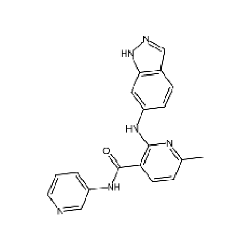 Cc1ccc(C(=O)Nc2cccnc2)c(Nc2ccc3cn[nH]c3c2)n1